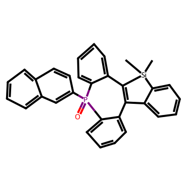 C[Si]1(C)C2=C(c3ccccc31)c1ccccc1P(=O)(c1ccc3ccccc3c1)c1ccccc12